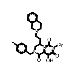 CC(C)n1c(=O)c(O)c2n(c1=O)C(CCN1CCc3ccccc3C1)CN(Cc1ccc(F)cc1)C2=O